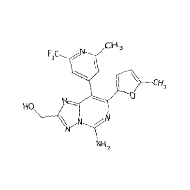 Cc1cc(-c2c(-c3ccc(C)o3)nc(N)n3nc(CO)nc23)cc(C(F)(F)F)n1